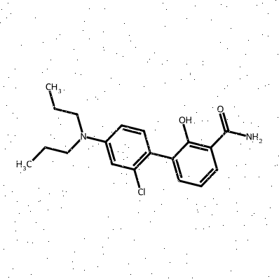 CCCN(CCC)c1ccc(-c2cccc(C(N)=O)c2O)c(Cl)c1